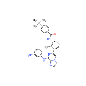 Cc1c(NC(=O)c2ccc(C(C)(C)C)cc2)cccc1-c1cn2ccnc2c(Nc2cccc(N)c2)n1